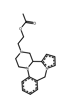 CC(=O)OCCN1CCN2c3ccccc3Cn3cccc3C2C1